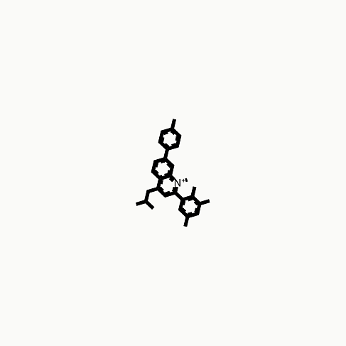 Cc1ccc(-c2ccc3c(CC(C)C)cc(-c4cc(C)cc(C)c4C)[n+](C)c3c2)cc1